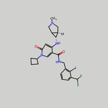 CN1CC2[C@@H](C1)[C@@H]2Nc1cc(=O)n(C2CCC2)cc1C(=O)NCc1cccc(C(F)F)c1I